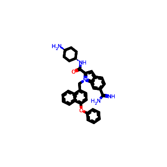 N=C(N)c1ccc2cc(C(=O)N[C@H]3CC[C@H](N)CC3)n(Cc3ccc(Oc4ccccc4)c4ccccc34)c2c1